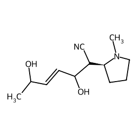 CC(O)/C=C/C(O)C(C#N)[C@@H]1CCCN1C